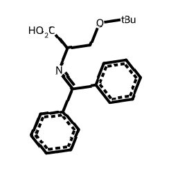 CC(C)(C)OCC(N=C(c1ccccc1)c1ccccc1)C(=O)O